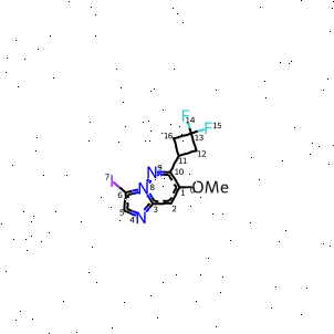 COc1cc2ncc(I)n2nc1C1CC(F)(F)C1